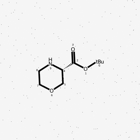 CC(C)(C)OC(=O)[C@@H]1COCCN1